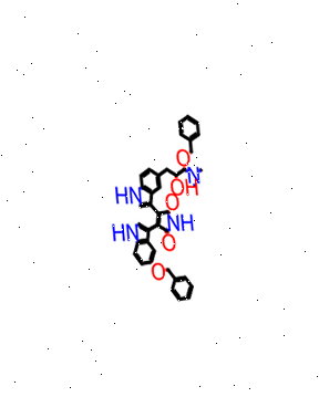 CN(C)C(OCc1ccccc1)C(O)Cc1ccc2[nH]cc(C3=C(c4c[nH]c5ccc(OCc6ccccc6)cc45)C(=O)NC3=O)c2c1